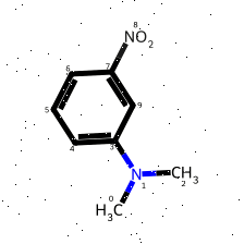 CN(C)c1cc[c]c([N+](=O)[O-])c1